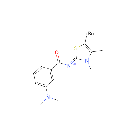 Cc1c(C(C)(C)C)s/c(=N\C(=O)c2cccc(N(C)C)c2)n1C